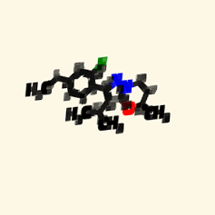 CCc1ccc(-c2nn3c(c2C(C)C)O[C@H](C)CC3)c(F)c1